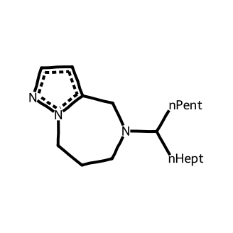 CCCCCCCC(CCCCC)N1CCCn2nccc2C1